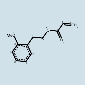 C=CC(=O)OCCc1ccccc1OC